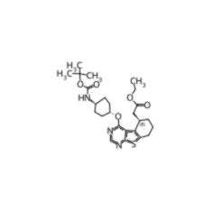 CCOC(=O)C[C@H]1CCCc2sc3ncnc(O[C@H]4CC[C@H](NC(=O)OC(C)(C)C)CC4)c3c21